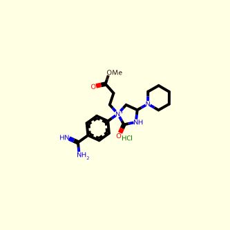 COC(=O)CC[N+]1(c2ccc(C(=N)N)cc2)CC(N2CCCCC2)NC1=O.Cl